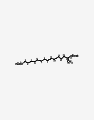 [CH2]CCCCCCCCCCCCCCCCCCCCCCC(C)CCCC[CH2]